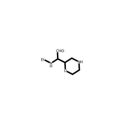 CCNC([C]=O)C1CNCCO1